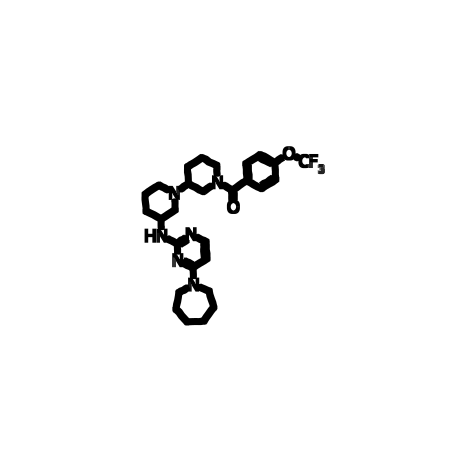 O=C(c1ccc(OC(F)(F)F)cc1)N1CCCC(N2CCCC(Nc3nccc(N4CCCCCC4)n3)C2)C1